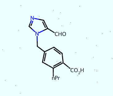 CCCc1cc(Cn2cncc2C=O)ccc1C(=O)O